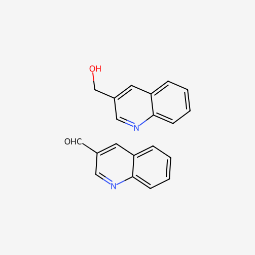 O=Cc1cnc2ccccc2c1.OCc1cnc2ccccc2c1